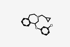 Clc1cccc(OC2CN(CC3CC3)CCc3ccccc32)c1